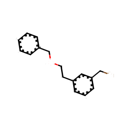 BrCc1cccc(CCOCc2ccccc2)c1